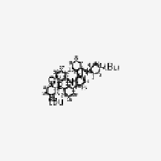 CC(C)(C)c1ccc(-n2c3ccccc3c3c2ccc2c4cccc5c4n(c23)-c2cccc3c2B5c2cc(C(C)(C)C)ccc2O3)cc1